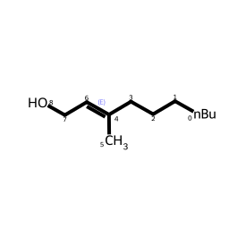 CCCCCCC/C(C)=C/CO